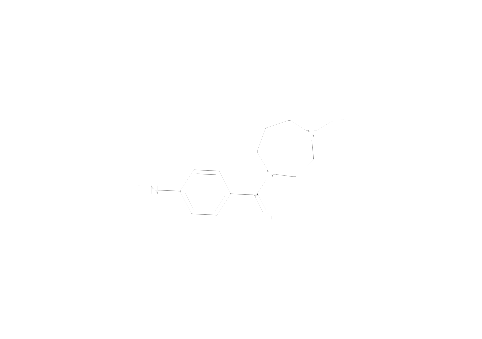 CC(C)N1CCCN(C(=O)c2ccc([N+](=O)[O-])cc2)CC1